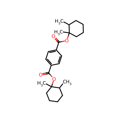 CC1CCCCC1(C)OC(=O)c1ccc(C(=O)OC2(C)CCCCC2C)cc1